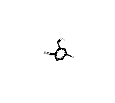 C=Cc1cc(Cl)ccc1NC